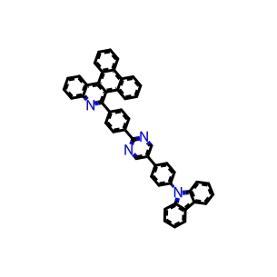 c1ccc2c(c1)nc(-c1ccc(-c3ncc(-c4ccc(-n5c6ccccc6c6ccccc65)cc4)cn3)cc1)c1c3ccccc3c3ccccc3c21